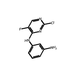 Nc1cccc(Nc2nc(Cl)ncc2F)c1